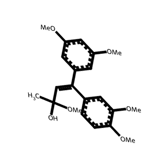 COc1cc(OC)cc(C(=CC(C)(O)OC)c2ccc(OC)c(OC)c2)c1